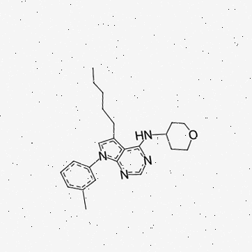 CCCCCc1cn(-c2cccc(C)c2)c2ncnc(NC3CCOCC3)c12